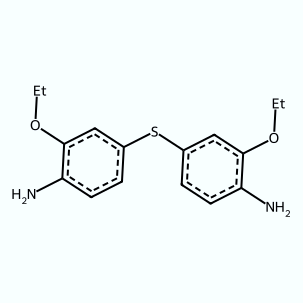 CCOc1cc(Sc2ccc(N)c(OCC)c2)ccc1N